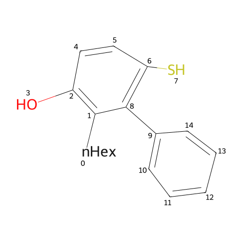 CCCCCCc1c(O)ccc(S)c1-c1ccccc1